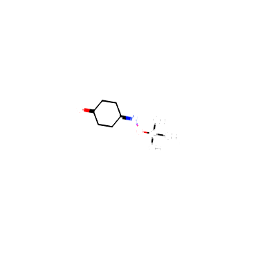 C[Si](C)(C)ON=C1CCC(=O)CC1